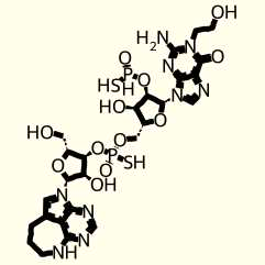 Nc1nc2c(ncn2[C@@H]2O[C@H](COP(=O)(S)O[C@H]3[C@@H](O)[C@H](n4cc5c6c(ncnc64)NCCC5)O[C@@H]3CO)[C@@H](O)[C@H]2O[PH](=O)S)c(=O)n1CCO